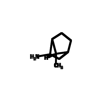 C[C@H]1C2CCC1C(N)C2